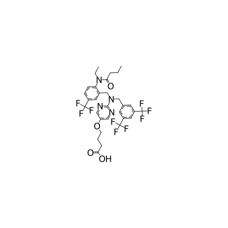 CCCC(=O)N(CC)c1ccc(C(F)(F)F)cc1CN(Cc1cc(C(F)(F)F)cc(C(F)(F)F)c1)c1ncc(OCCCC(=O)O)cn1